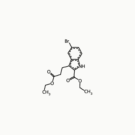 CCOC(=O)CCc1c(C(=O)OCC)[nH]c2ccc(Br)cc12